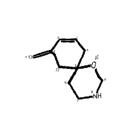 O=C1C=CCC2(CCNCO2)C1